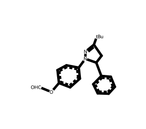 CC(C)(C)C1=NN(c2ccc(OC=O)cc2)C(c2ccccc2)C1